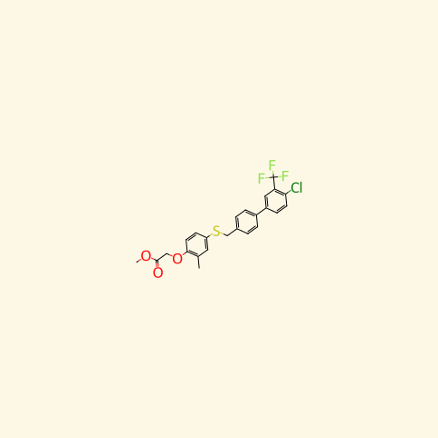 COC(=O)COc1ccc(SCc2ccc(-c3ccc(Cl)c(C(F)(F)F)c3)cc2)cc1C